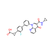 O=C(NC1CC1)c1cn(-c2cccc(-c3ccc(C4CC4C(=O)O)c(F)c3)c2)c2ncccc2c1=O